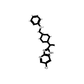 CC(c1nc2ncc(Cl)cc2[nH]1)C1CCC(COc2ccccc2)CC1